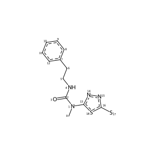 CN(C(=O)NCCc1ccccc1)c1nnc([S])s1